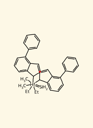 C[CH2][Hf]([CH3])([CH3])(=[SiH2])([CH2]C)([CH]1C=Cc2c(-c3ccccc3)cccc21)[CH]1C=Cc2c(-c3ccccc3)cccc21